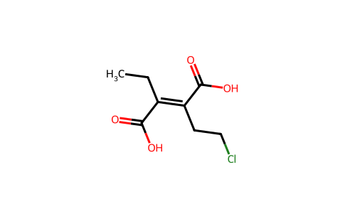 CCC(C(=O)O)=C(CCCl)C(=O)O